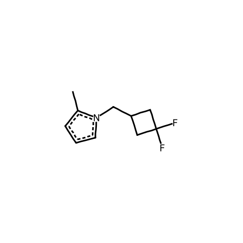 Cc1cccn1CC1CC(F)(F)C1